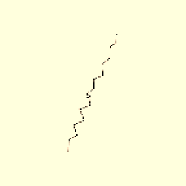 [CH2]CCCCCCCSCCCCCCC